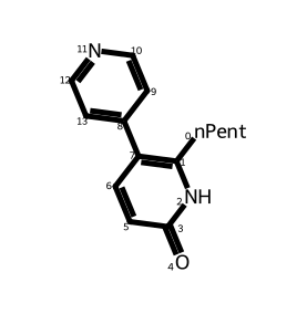 CCCCCc1[nH]c(=O)ccc1-c1ccncc1